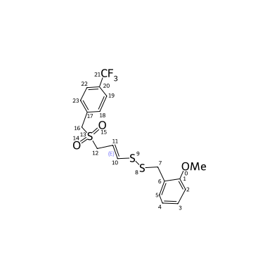 COc1ccccc1CSS/C=C/CS(=O)(=O)Cc1ccc(C(F)(F)F)cc1